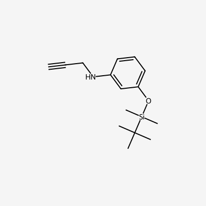 C#CCNc1cccc(O[Si](C)(C)C(C)(C)C)c1